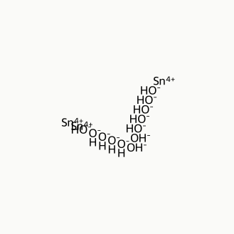 [OH-].[OH-].[OH-].[OH-].[OH-].[OH-].[OH-].[OH-].[OH-].[OH-].[OH-].[OH-].[Sn+4].[Sn+4].[Sn+4]